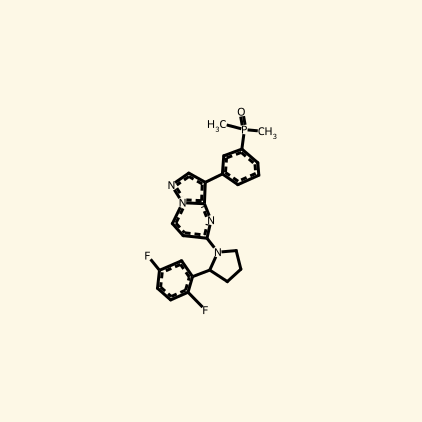 CP(C)(=O)c1cccc(-c2cnn3ccc(N4CCCC4c4cc(F)ccc4F)nc23)c1